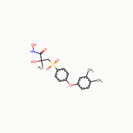 Cc1ccc(Oc2ccc(S(=O)(=O)CC(C)(O)C(=O)NO)cc2)cc1C